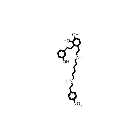 O=[N+]([O-])c1ccc(CCNCCCCCCNCCc2ccc(O)c(O)c2CCc2cccc(O)c2)cc1